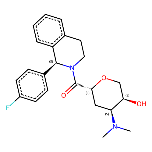 CN(C)[C@H]1C[C@H](C(=O)N2CCc3ccccc3[C@@H]2c2ccc(F)cc2)OC[C@H]1O